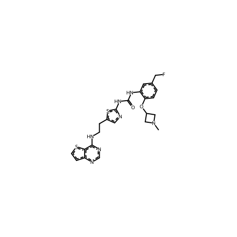 CN1CC(Oc2ccc(CF)cc2NC(=O)Nc2ncc(CCNc3ncnc4ccsc34)s2)C1